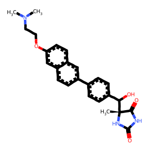 CN(C)CCOc1ccc2cc(-c3ccc(C(O)[C@@]4(C)NC(=O)NC4=O)cc3)ccc2c1